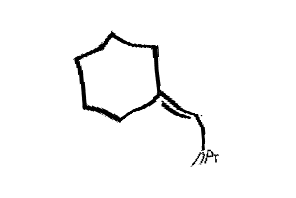 CCC[C]=C1CCCCC1